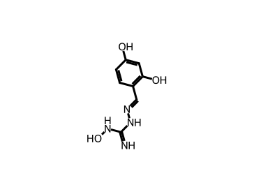 N=C(NO)NN=Cc1ccc(O)cc1O